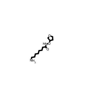 NCCCCCCCC(=O)NOC1CCOC1